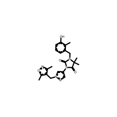 Cc1noc(C)c1Cn1cc(N2C(=O)N(Cc3cccc(O)c3C)C(C)(C)C2=O)cn1